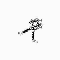 CCCCCCCCOCC(O)C(COCCCCCCCC)N1CCN(C(=O)O)CCN(C(=O)O)CC(C)N(C(=O)O)CC1